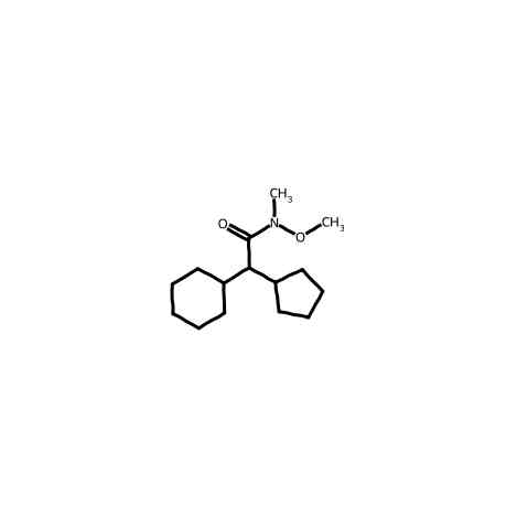 CON(C)C(=O)C(C1CCCCC1)C1CCCC1